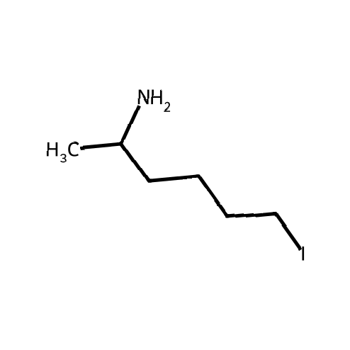 CC(N)CCCCI